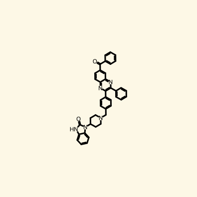 O=C(c1ccccc1)c1ccc2nc(-c3ccc(CN4CCC(n5c(=O)[nH]c6ccccc65)CC4)cc3)c(-c3ccccc3)nc2c1